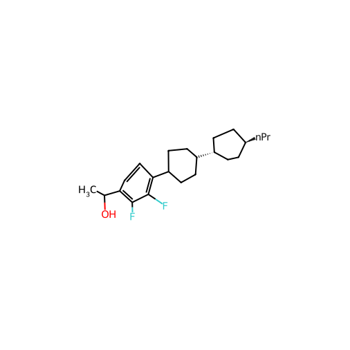 CCC[C@H]1CC[C@H](C2CCC(c3ccc(C(C)O)c(F)c3F)CC2)CC1